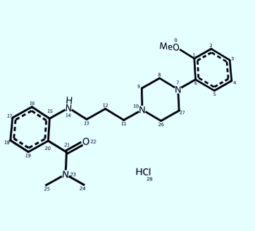 COc1ccccc1N1CCN(CCCNc2ccccc2C(=O)N(C)C)CC1.Cl